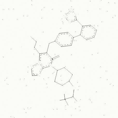 CCCc1c(Cc2ccc(-c3ccccc3-c3nnn[nH]3)cc2)c(=O)n(C2CCC(OC(C)C(C)(C)O)CC2)c2ncnn12.[KH]